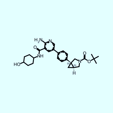 CC(C)(C)OC(=O)N1C[C@H]2C[C@]2(c2ccc(-c3cnc(N)c(C(=O)NC4CCC(O)CC4)c3)cc2)C1